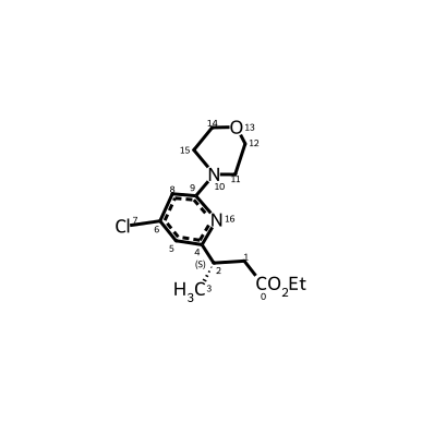 CCOC(=O)C[C@H](C)c1cc(Cl)cc(N2CCOCC2)n1